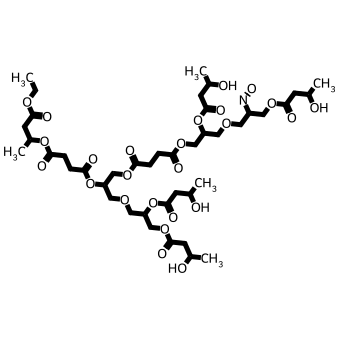 CCOC(=O)CC(C)OC(=O)CCC(=O)OC(COCC(COC(=O)CC(C)O)OC(=O)CC(C)O)COC(=O)CCC(=O)OCC(COCC(COC(=O)CC(C)O)N=O)OC(=O)CC(C)O